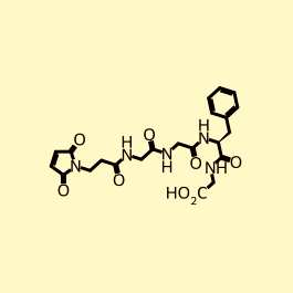 O=C(O)CNC(=O)[C@H](Cc1ccccc1)NC(=O)CNC(=O)CNC(=O)CCN1C(=O)C=CC1=O